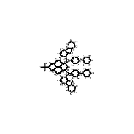 CC(C)(C)c1cc2ccc3c(N(c4ccc(-c5ccccc5)cc4)c4cccc5c4oc4ccccc45)cc(N(c4ccc(-c5ccccc5)cc4)c4cccc5c4oc4ccccc45)c4ccc(c1)c2c34